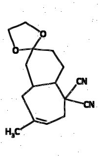 CC1=CCC(C#N)(C#N)C2CCC3(CC2C1)OCCO3